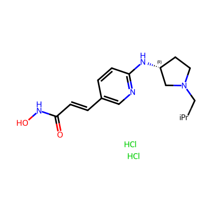 CC(C)CN1CC[C@@H](Nc2ccc(C=CC(=O)NO)cn2)C1.Cl.Cl